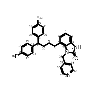 O=c1[nH]c2cccc(CCCC(c3ccc(F)cc3)c3ccc(F)cc3)c2n1Cc1ccncc1